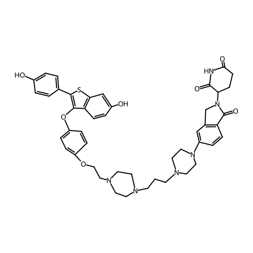 O=C1CCC(N2Cc3cc(N4CCN(CCCN5CCN(CCOc6ccc(Oc7c(-c8ccc(O)cc8)sc8cc(O)ccc78)cc6)CC5)CC4)ccc3C2=O)C(=O)N1